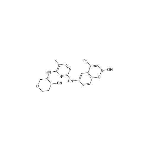 Cc1cnc(Nc2ccc3c(c2)C(C(C)C)=CB(O)O3)nc1NC1COCCC1C#N